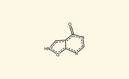 O=c1ncnc2o[nH]cc1-2